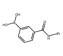 CC(C)NC(=O)c1cccc(B(O)O)c1